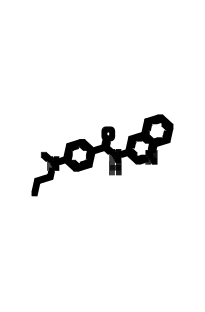 CCCN(C)c1ccc(C(=O)Nc2cnc3ccccc3c2)cc1